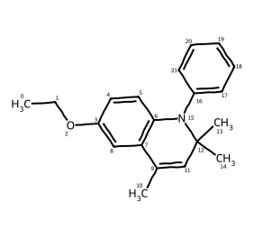 CCOc1ccc2c(c1)C(C)=CC(C)(C)N2c1ccccc1